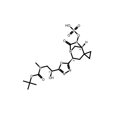 CN(C[C@H](O)c1nnc([C@@H]2CC3(CC3)[C@@H]3CN2C(=O)N3OS(=O)(=O)O)o1)C(=O)OC(C)(C)C